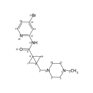 CN1CCN(CC23CC2(C(=O)Nc2cc(Br)ccn2)C3)CC1